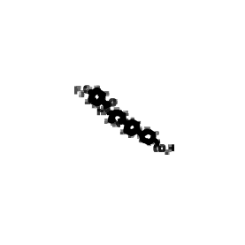 O=C(O)CC1CCC(c2ccc(-c3ccc(NC(=O)c4ccc(C(F)(F)F)cc4)cn3)cc2)CC1